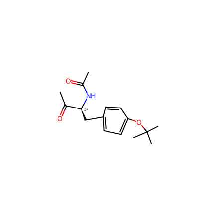 CC(=O)N[C@@H](Cc1ccc(OC(C)(C)C)cc1)C(C)=O